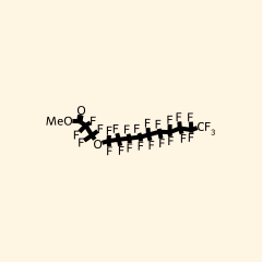 COC(=O)C(F)(F)C(F)(F)OC(F)(F)C(F)(F)C(F)(F)C(F)(F)C(F)(F)C(F)(F)C(F)(F)C(F)(F)C(F)(F)C(F)(F)F